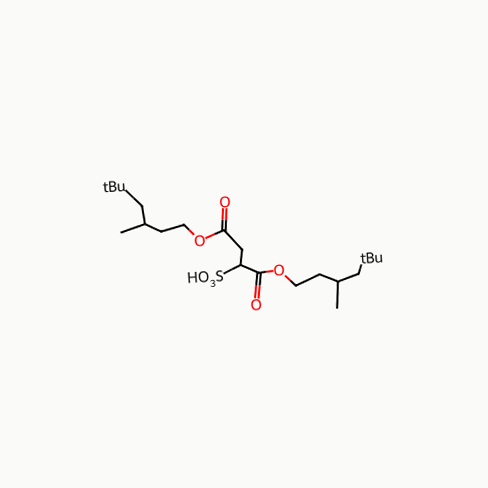 CC(CCOC(=O)CC(C(=O)OCCC(C)CC(C)(C)C)S(=O)(=O)O)CC(C)(C)C